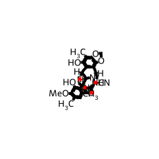 COc1c(C)cc2c(c1O)C1[C@@H]3[C@@H]4SCC(=O)C(=O)NC[C@@H](c5c6c(c(C)c(O)c54)OCO6)N3[C@@H](C#N)C(C2)N1C